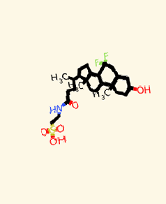 CC(CCC(=O)NCCS(=O)(=O)O)C1CCC2C3C(CCC12C)C1(C)CCC(O)CC1CC3(F)F